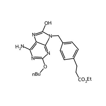 CCCCOc1nc(N)c2nc(O)n(Cc3ccc(CCC(=O)OCC)cc3)c2n1